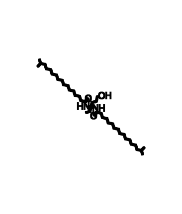 CCC([CH]CCO)(NC(=O)CCCCCCCCCCCCCCC(C)C)NC(=O)CCCCCCCCCCCCCCC(C)C